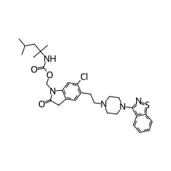 CC(C)CC(C)(C)NC(=O)OCN1C(=O)Cc2cc(CCN3CCN(c4nsc5ccccc45)CC3)c(Cl)cc21